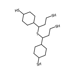 SCCC(SC(CCS)C1CCC(S)CC1)C1CCC(S)CC1